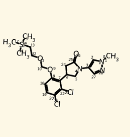 Cn1cc(N2CC(c3c(OCOCC[Si](C)(C)C)ccc(Cl)c3Cl)CC2=O)cn1